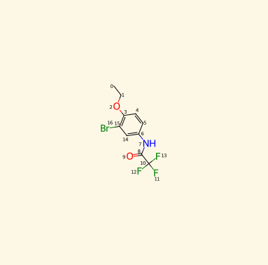 CCOc1ccc(NC(=O)C(F)(F)F)cc1Br